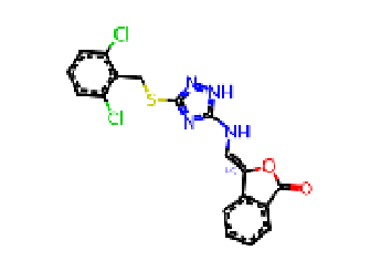 O=C1O/C(=C\Nc2nc(SCc3c(Cl)cccc3Cl)n[nH]2)c2ccccc21